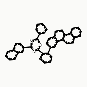 c1ccc(-c2nc(-c3ccc4ccccc4c3)nc(-c3ccccc3-c3ccc4ccc5c6ccccc6ccc5c4c3)n2)cc1